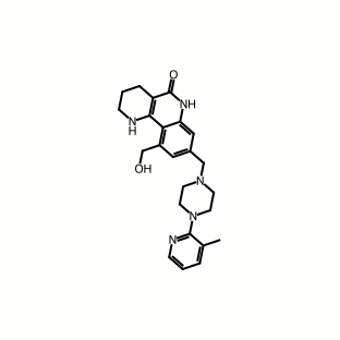 Cc1cccnc1N1CCN(Cc2cc(CO)c3c4c(c(=O)[nH]c3c2)CCCN4)CC1